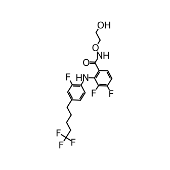 O=C(NOCCO)c1ccc(F)c(F)c1Nc1ccc(CCCCC(F)(F)F)cc1F